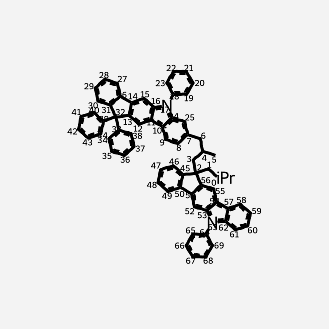 CC(C)CC1(CC(C)Cc2ccc3c4cc5c(cc4n(-c4ccccc4)c3c2)-c2ccccc2C5(c2ccccc2)c2ccccc2)c2ccccc2-c2cc3c(cc21)c1ccccc1n3-c1ccccc1